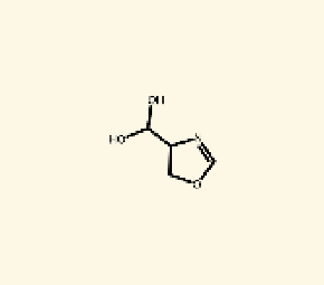 OC(O)C1COC=N1